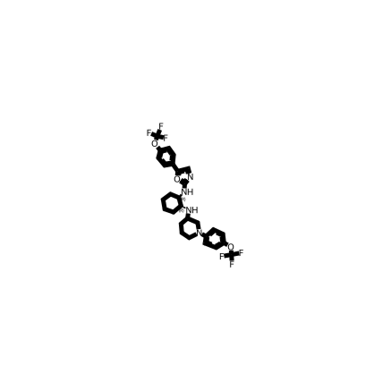 FC(F)(F)Oc1ccc(-c2cnc(N[C@@H]3CCCC[C@H]3NC3CCCN(c4ccc(OC(F)(F)F)cc4)C3)o2)cc1